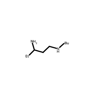 CCC(N)CCNC(C)CC